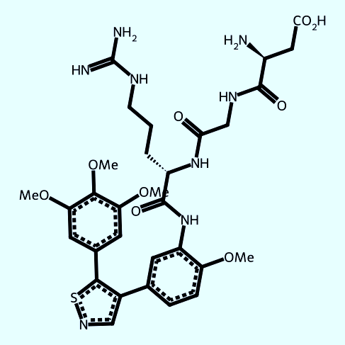 COc1ccc(-c2cnsc2-c2cc(OC)c(OC)c(OC)c2)cc1NC(=O)[C@H](CCCNC(=N)N)NC(=O)CNC(=O)[C@@H](N)CC(=O)O